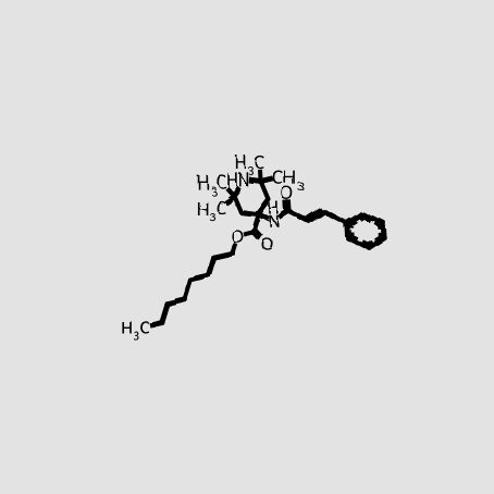 CCCCCCCCOC(=O)C1(NC(=O)/C=C/c2ccccc2)CC(C)(C)NC(C)(C)C1